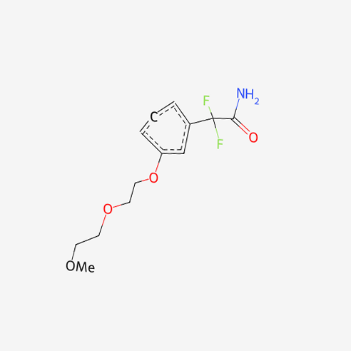 COCCOCCOc1cccc(C(F)(F)C(N)=O)c1